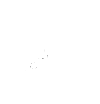 Cc1cc(F)c(NS(=O)(=O)C2CCCC=C2C(=O)C2CCCOCCOCCOCCOCCOCCOCC2)c(F)c1